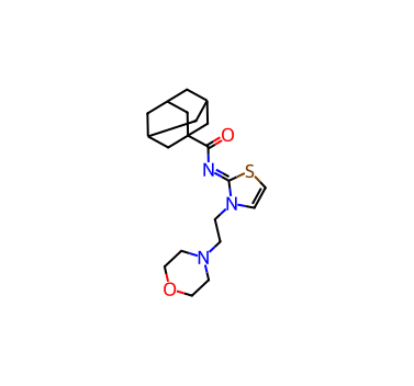 O=C(N=c1sccn1CCN1CCOCC1)C12CC3CC(CC(C3)C1)C2